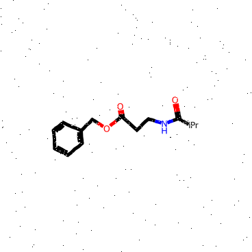 CC(C)C(=O)NCCC(=O)OCc1ccccc1